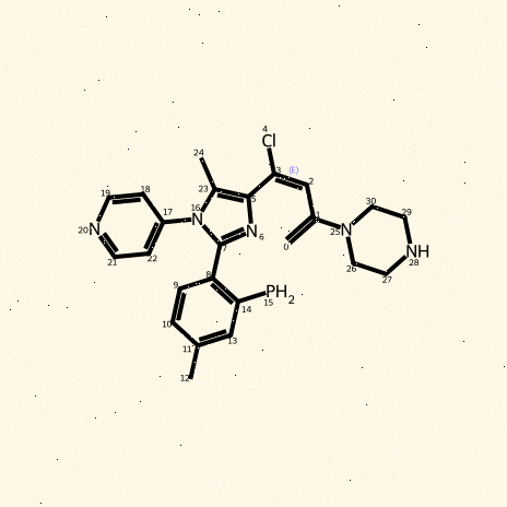 C=C(/C=C(/Cl)c1nc(-c2ccc(C)cc2P)n(-c2ccncc2)c1C)N1CCNCC1